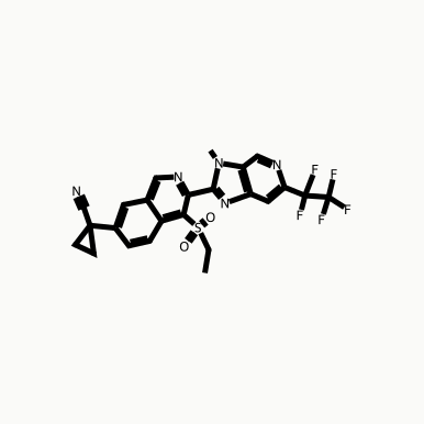 CCS(=O)(=O)c1c(-c2nc3cc(C(F)(F)C(F)(F)F)ncc3n2C)ncc2cc(C3(C#N)CC3)ccc12